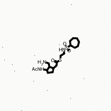 CC(=O)NC1CCC(CC(=O)SCCNS(=O)(=O)C2CCCCCC2)C1CN